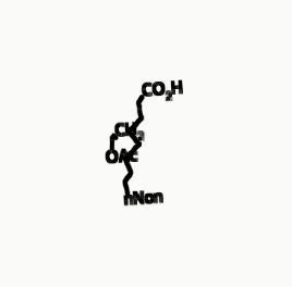 C=COC(C)=O.CCCCCCCCCCCCCCCCC(=O)O